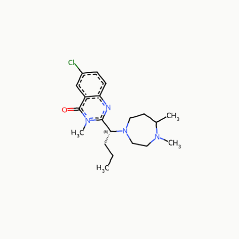 CCC[C@H](c1nc2ccc(Cl)cc2c(=O)n1C)N1CCC(C)N(C)CC1